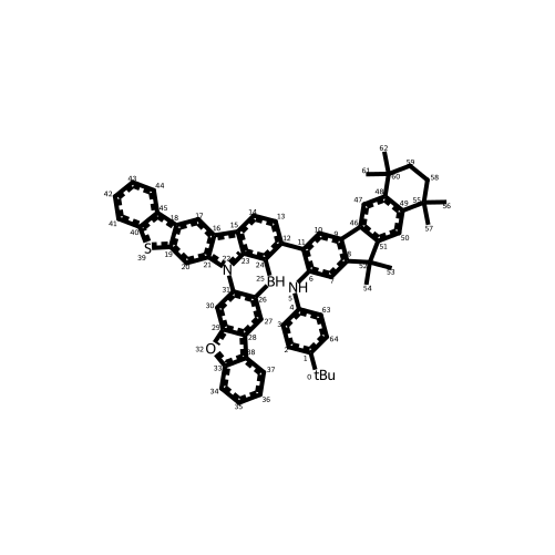 CC(C)(C)c1ccc(Nc2cc3c(cc2-c2ccc4c5cc6c(cc5n5c4c2Bc2cc4c(cc2-5)oc2ccccc24)sc2ccccc26)-c2cc4c(cc2C3(C)C)C(C)(C)CCC4(C)C)cc1